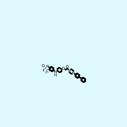 O=C(CO[C@H]1CC[C@H](Nc2ccc([N+](=O)[O-])c(C(F)(F)F)c2)CC1)N1CCN(c2ccc(-c3ccccc3)cc2)CC1